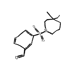 CC1(C)CCCN(S(=O)(=O)c2cccc(C=O)c2)C1